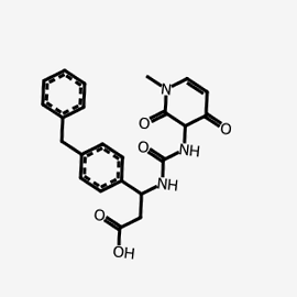 CN1C=CC(=O)C(NC(=O)NC(CC(=O)O)c2ccc(Cc3ccccc3)cc2)C1=O